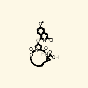 COc1ccc2c(OC3CC4C(=O)NC5(C(=O)O)CC5/C=C/CCCCOC(=O)N4C3)nc(Cl)cc2c1